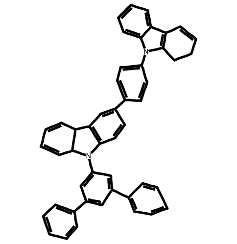 C1=CC2c3cc(-c4ccc(-n5c6c(c7ccccc75)C=CCC6)cc4)ccc3N(c3cc(-c4ccccc4)cc(-c4ccccc4)c3)C2C=C1